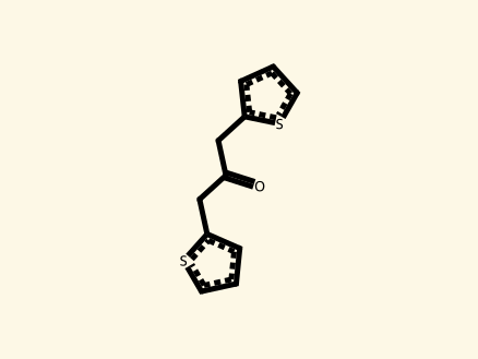 O=C(Cc1cccs1)Cc1cccs1